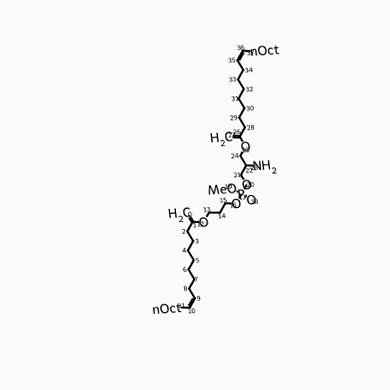 C=C(CCCCCCC/C=C\CCCCCCCC)OCCCOP(=O)(OC)OCC(N)COC(=C)CCCCCCC/C=C\CCCCCCCC